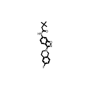 CC(C)(C)CC(=O)Nc1ccc2c(N3CCc4cc(F)ccc4C3)noc2c1